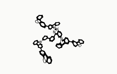 c1cc(-c2cccc(-n3c4ccccc4c4cc(-c5ccc6oc7ccccc7c6c5)ccc43)c2)cc(-c2nc(-n3c4ccccc4c4cc(-c5ccc6oc7ccccc7c6c5)ccc43)nc3ccc(-n4c5ccccc5c5cc(-c6ccc7oc8ccccc8c7c6)ccc54)cc23)c1